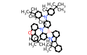 Cc1cc(C(C)(C)C)ccc1N(c1ccc2c(c1)N(c1cccc3oc4ccccc4c13)c1cc(C(C)(C)C)cc3c1B2c1cccc2c4c(n-3c12)C(C)(C)c1ccccc1-4)c1ccc(C(C)(C)C)cc1C